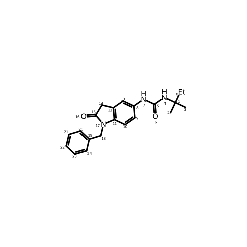 CCC(C)(C)NC(=O)Nc1ccc2c(c1)CC(=O)N2Cc1ccccc1